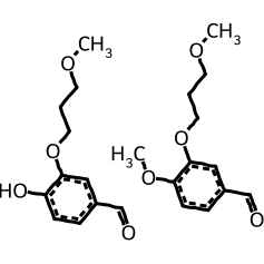 COCCCOc1cc(C=O)ccc1O.COCCCOc1cc(C=O)ccc1OC